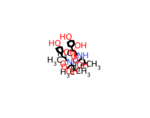 CC(C)CC(NC(=O)CC(C)c1ccc(O)cc1O)C(=O)O.CC(C)C[C@@H](NC(=O)CC(C)c1ccc(O)cc1O)C(=O)O